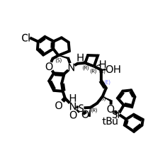 C[C@@H]1C[C@H](CO[Si](c2ccccc2)(c2ccccc2)C(C)(C)C)/C=C/[C@H](O)[C@@H]2CC[C@H]2CN2C[C@@]3(CCCc4cc(Cl)ccc43)COc3ccc(cc32)C(=O)NS1(=O)=O